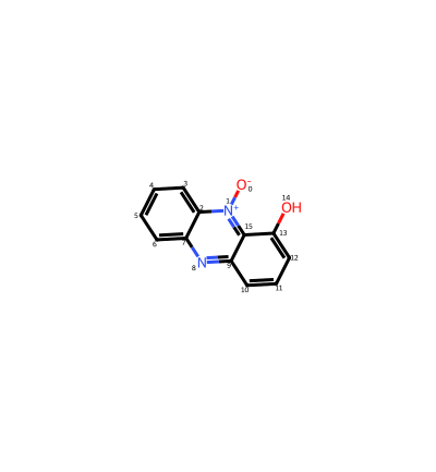 [O-][n+]1c2ccccc2nc2cccc(O)c21